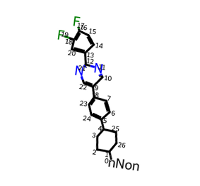 CCCCCCCCCC1CCC(c2ccc(-c3cnc(-c4ccc(F)c(F)c4)nc3)cc2)CC1